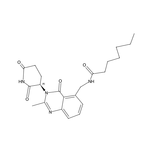 CCCCCCC(=O)NCc1cccc2nc(C)n([C@@H]3CCC(=O)NC3=O)c(=O)c12